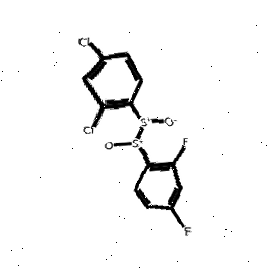 [O-][S+](c1ccc(F)cc1F)[S+]([O-])c1ccc(Cl)cc1Cl